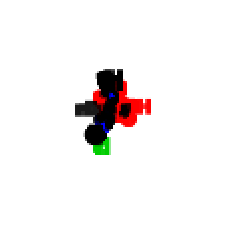 CCCCOC(CN1CCN(c2cccc(Cl)c2)CC1)CN1C(=O)C2C3C=C[C@@H](C3)[C@@H]2C1=O.O=C(O)C(=O)O